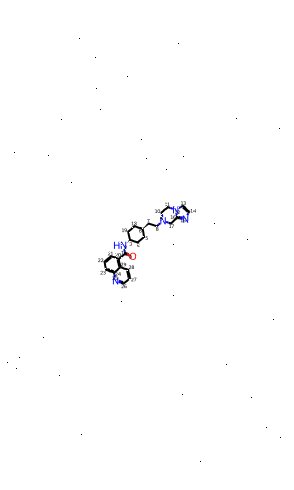 O=C(N[C@H]1CC[C@H](CCN2CCn3ccnc3C2)CC1)c1cccc2ncccc12